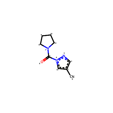 N#Cc1cnn(C(=O)N2CCCC2)c1